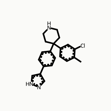 Cc1ccc(C2(c3ccc(-c4cn[nH]c4)cc3)CCNCC2)cc1Cl